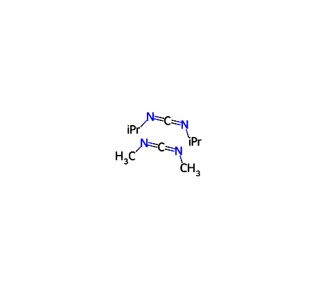 CC(C)N=C=NC(C)C.CN=C=NC